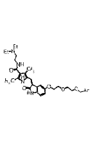 CCN(CC)CCNC(=O)c1c(C)[nH]c(/C=C2\C(=O)Nc3ccc(OCCOCCOCC(C)=O)cc32)c1C